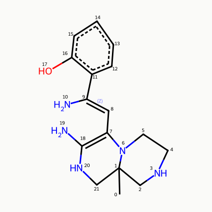 CC12CNCCN1C(/C=C(\N)c1ccccc1O)=C(N)NC2